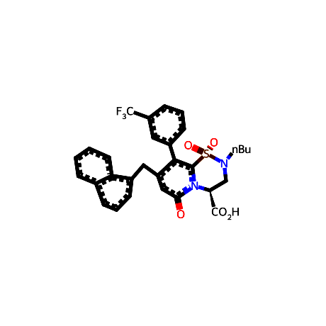 CCCCN1C[C@@H](C(=O)O)n2c(c(-c3cccc(C(F)(F)F)c3)c(Cc3cccc4ccccc34)cc2=O)S1(=O)=O